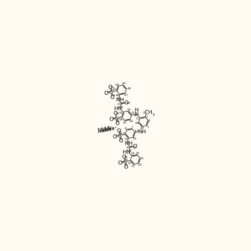 Cc1ccc(Nc2ccc(S(=O)(=O)[O-])c(NC(=O)Nc3ccccc3S(=O)(=O)[O-])c2)cc1Nc1ccc(S(=O)(=O)[O-])c(NC(=O)Nc2ccccc2S(=O)(=O)[O-])c1.[Na+].[Na+].[Na+].[Na+]